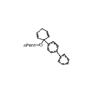 CCCCCOC1(c2ccc(-c3cc[c]cc3)cc2)C=CCC=C1